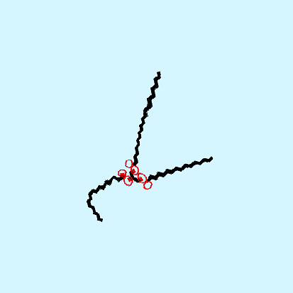 CCCCC/C=C\C/C=C\CCCCCCCC(=O)OC(COC(=O)CCCCCCCCCCCCCCC)COC(=O)CCCCCCCCCCCCCCCCCCCCCC